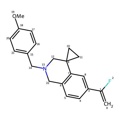 C=C(F)c1ccc2c(c1)C1(CC1)CN(Cc1ccc(OC)cc1)C2